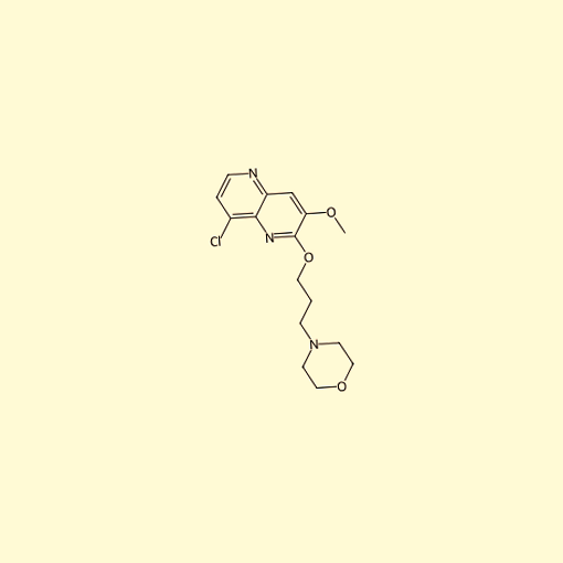 COc1cc2nccc(Cl)c2nc1OCCCN1CCOCC1